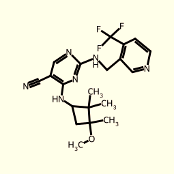 COC1(C)CC(Nc2nc(NCc3cnccc3C(F)(F)F)ncc2C#N)C1(C)C